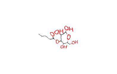 CCCCC(=O)OC1C(O)C(O)OC(CO)C1O